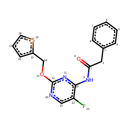 O=C(Cc1ccccc1)Nc1nc(OCc2cccs2)ncc1F